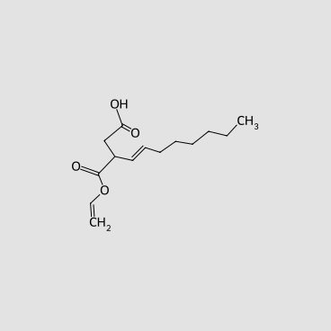 C=COC(=O)C(C=CCCCCCC)CC(=O)O